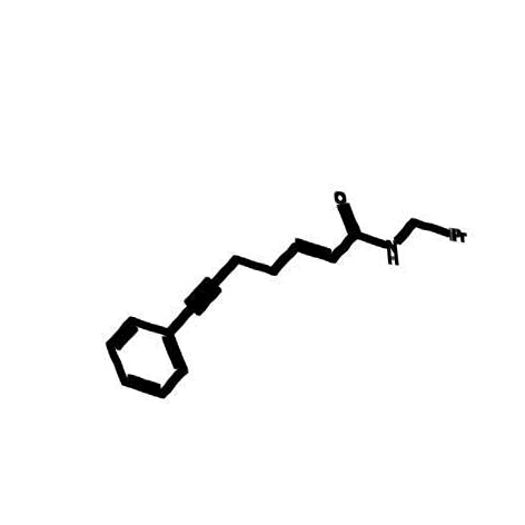 CC(C)CNC(=O)C=CCCC#Cc1ccccc1